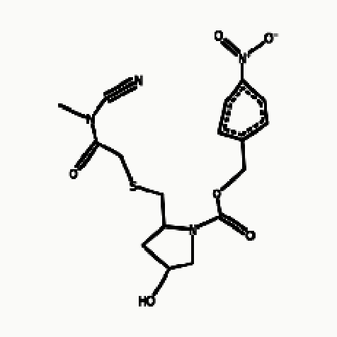 CN(C#N)C(=O)CSCC1CC(O)CN1C(=O)OCc1ccc([N+](=O)[O-])cc1